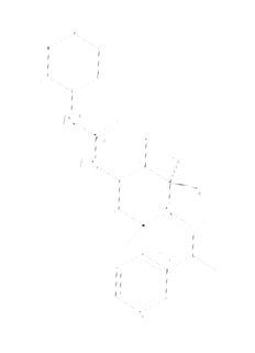 CCC1(C)CC(NC(=O)NC2CCCCC2)C(C)C(C)(CC)N1OC(C)c1ccccc1